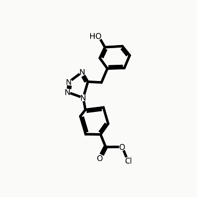 O=C(OCl)c1ccc(-n2nnnc2Cc2cccc(O)c2)cc1